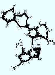 Nc1ncnc2c1c(-n1ccc3cc(F)cc(O)c31)nn2C1CCc2ccccc2C1